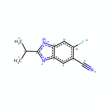 CC(C)c1nc2cc(C#N)c(F)cc2[nH]1